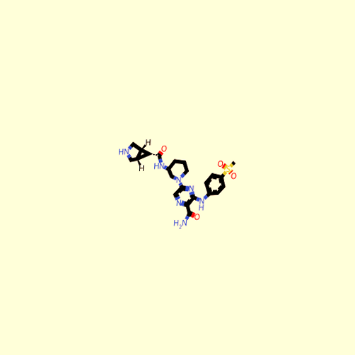 CS(=O)(=O)c1ccc(Nc2nc(N3CCCC(NC(=O)[C@@H]4[C@@H]5CNC[C@@H]54)C3)cnc2C(N)=O)cc1